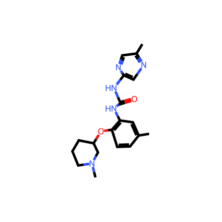 Cc1ccc(OC2CCCN(C)C2)c(NC(=O)Nc2cnc(C)cn2)c1